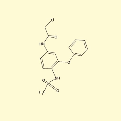 CS(=O)(=O)Nc1ccc(NC(=O)CCl)cc1Oc1ccccc1